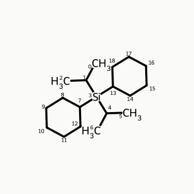 CC(C)[Si](C(C)C)(C1CCCCC1)C1CCCCC1